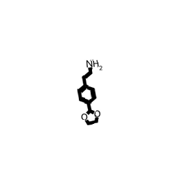 NCCc1ccc(C2OCCO2)cc1